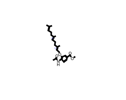 COC(=O)c1ccc(NC(C)=O)c(OC/C=C(\C)CC/C=C(\C)CCC=C(C)C)c1